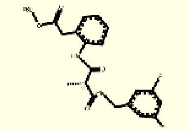 C[C@@H](C(=O)NCc1cc(F)cc(F)c1)C(=O)Nc1ccccc1CC(=O)OC(C)(C)C